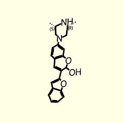 C[C@@H]1CN(c2ccc3c(c2)OC(O)C(c2cc4ccccc4o2)=C3)C[C@H](C)N1